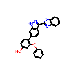 Oc1ccc(-c2ccc3c(-c4nc5ccccc5[nH]4)n[nH]c3c2)c(Oc2ccccc2)c1